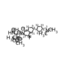 CN(C)Cc1ccc(-c2ccc3c(=O)n(CC[C@](C)(C(=O)NO)S(C)(=O)=O)cc(F)c3c2)cc1